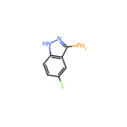 Fc1ccc2[nH]nc(P)c2c1